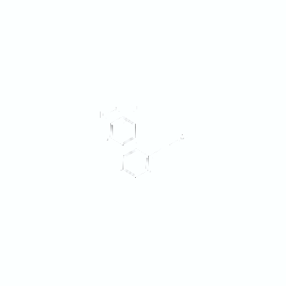 CC(C)=O.Cc1ccccc1.O=CO.c1ccccc1